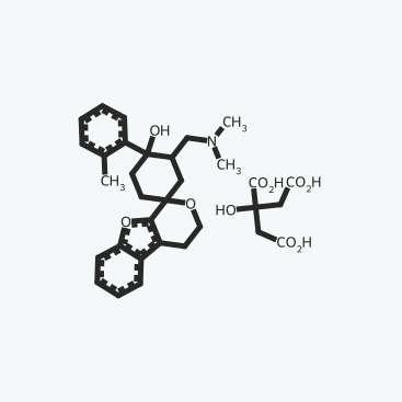 Cc1ccccc1C1(O)CCC2(CC1CN(C)C)OCCc1c2oc2ccccc12.O=C(O)CC(O)(CC(=O)O)C(=O)O